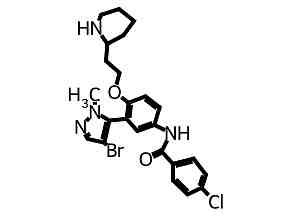 Cn1ncc(Br)c1-c1cc(NC(=O)c2ccc(Cl)cc2)ccc1OCCC1CCCCN1